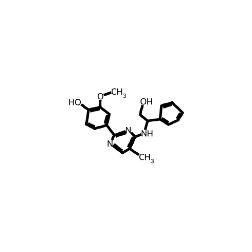 COc1cc(-c2ncc(C)c(NC(CO)c3ccccc3)n2)ccc1O